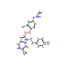 CCCNCc1ccc(OCc2cc3cnc(C#N)nc3n2CCc2ccc(Cl)cc2)c(F)c1